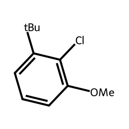 COc1cccc(C(C)(C)C)c1Cl